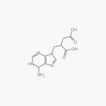 NC1NC=Nc2c1ncn2CC(CC(=O)O)C(=O)O